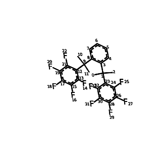 CC(C)(c1ccccc1C(C)(C)c1c(F)c(F)c(F)c(F)c1F)c1c(F)c(F)c(F)c(F)c1F